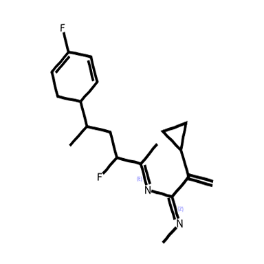 C=C(C(=N/C)/N=C(\C)C(F)CC(C)C1C=CC(F)=CC1)C1CC1